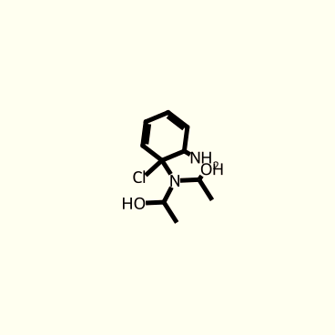 CC(O)N(C(C)O)C1(Cl)C=CC=CC1N